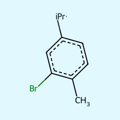 C[C](C)c1ccc(C)c(Br)c1